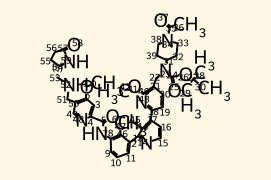 COc1cc(C(=O)Nc2cccc(-c3nccc(-c4ccc(CN(C(=O)OC(C)(C)C)C5CCN(C(C)=O)CC5)c(OC)n4)c3Cl)c2C)ncc1CNC[C@@H]1CCC(=O)N1